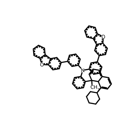 CC1(c2ccccc2N(c2cccc(-c3ccc4oc5ccccc5c4c3)c2)c2cccc(-c3ccc4oc5ccccc5c4c3)c2)C=CC=C2C=CC=C(C3CCCCC3)C21